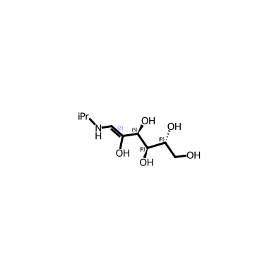 CC(C)N/C=C(\O)[C@@H](O)[C@H](O)[C@H](O)CO